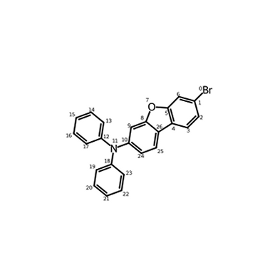 Brc1ccc2c(c1)oc1cc(N(c3ccccc3)c3ccccc3)ccc12